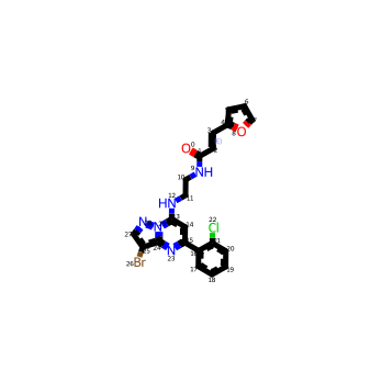 O=C(/C=C/c1ccco1)NCCNc1cc(-c2ccccc2Cl)nc2c(Br)cnn12